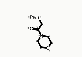 CCCCC[CH]C(=O)N1CCOCC1